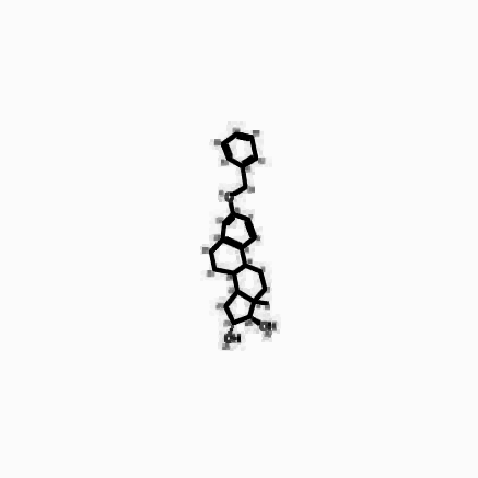 CC12CCC3c4ccc(OCc5ccccc5)cc4CCC3C1C[C@@H](O)[C@@H]2O